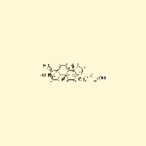 CN1C(=O)CC[C@@]2(C)C1=CC=C1[C@@H]3CC[C@H](CCCO)[C@@]3(C)CC[C@@H]12